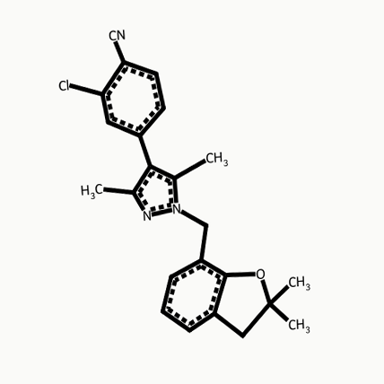 Cc1nn(Cc2cccc3c2OC(C)(C)C3)c(C)c1-c1ccc(C#N)c(Cl)c1